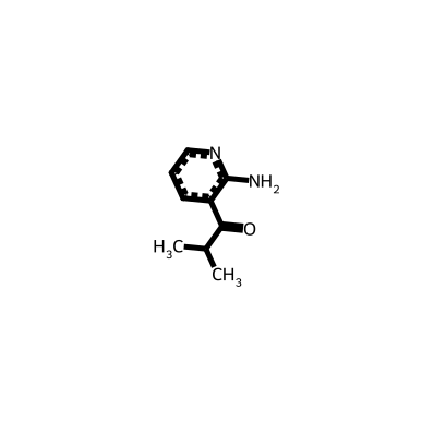 CC(C)C(=O)c1cccnc1N